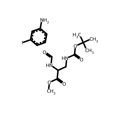 COC(=O)C(CNC(=O)OC(C)(C)C)NC=O.Nc1cccc(I)c1